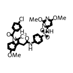 COc1ccc2c(c1)c(CC(=O)Nc1ccc(S(=O)(=O)Nc3cc(OC)nc(OC)n3)cc1)c(C)n2C(=O)c1ccc(Cl)cc1